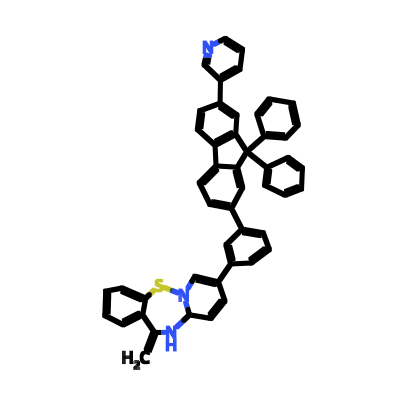 C=C1NC2C=CC(c3cccc(-c4ccc5c(c4)C(c4ccccc4)(c4ccccc4)c4cc(-c6cccnc6)ccc4-5)c3)=CN2Sc2ccccc21